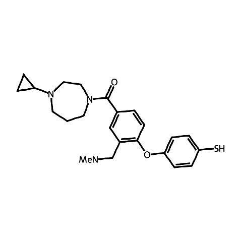 CNCc1cc(C(=O)N2CCCN(C3CC3)CC2)ccc1Oc1ccc(S)cc1